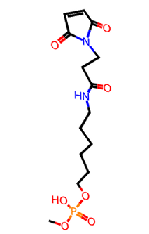 COP(=O)(O)OCCCCCCNC(=O)CCN1C(=O)C=CC1=O